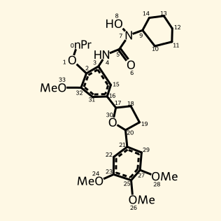 CCCOc1c(NC(=O)N(O)C2CCCCC2)cc(C2CCC(c3cc(OC)c(OC)c(OC)c3)O2)cc1OC